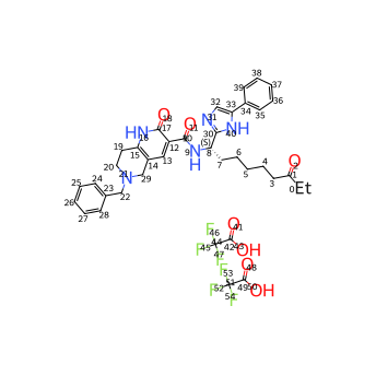 CCC(=O)CCCCC[C@H](NC(=O)c1cc2c([nH]c1=O)CCN(Cc1ccccc1)C2)c1ncc(-c2ccccc2)[nH]1.O=C(O)C(F)(F)F.O=C(O)C(F)(F)F